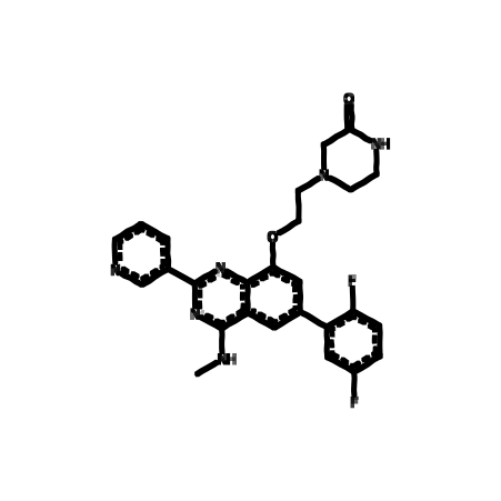 CNc1nc(-c2cccnc2)nc2c(OCCN3CCNC(=O)C3)cc(-c3cc(F)ccc3F)cc12